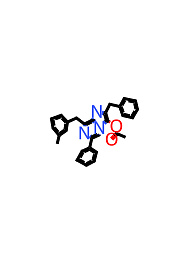 CC(=O)Oc1c(Cc2ccccc2)nc2c(Cc3cccc(C)c3)nc(-c3ccccc3)cn12